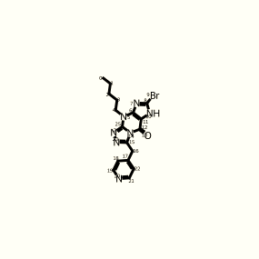 CCCCCn1c2nc(Br)[nH]c2c(=O)n2c(Cc3ccncc3)nnc12